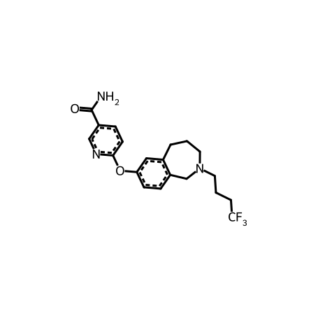 NC(=O)c1ccc(Oc2ccc3c(c2)CCCN(CCCC(F)(F)F)C3)nc1